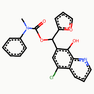 CN(C(=O)OC(c1ccco1)c1cc(Cl)c2cccnc2c1O)c1ccccc1